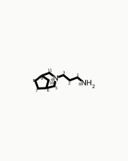 NCCCN1CC2CCC(C2)C1